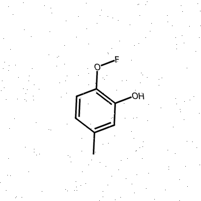 Cc1ccc(OF)c(O)c1